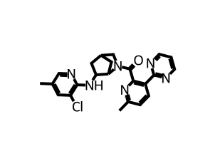 Cc1cnc(NC2CC3CC2N(C(=O)c2nc(C)ccc2-c2ncccn2)C3)c(Cl)c1